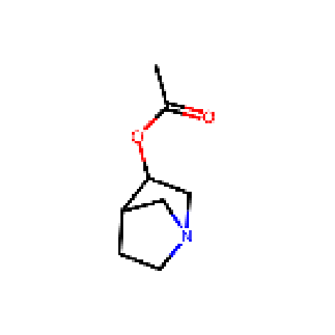 CC(=O)OC1CN2CCC1C2